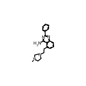 CN1CCN(CCc2cccc3nc(-c4ccccc4)nc(N)c23)CC1